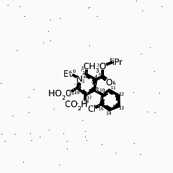 CC[n+]1c(C)c(C(=O)OC(C)C)c(-c2ccccc2Cl)c(C(=O)O)c1C(=O)O